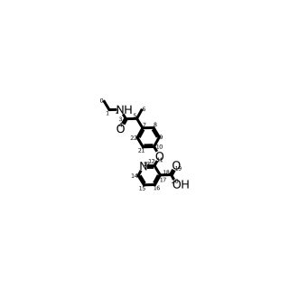 CCNC(=O)C(C)c1ccc(Oc2ncccc2C(=O)O)cc1